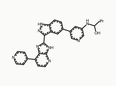 CC(C)C(O)Nc1cncc(-c2ccc3[nH]nc(-c4nc5c(-c6ccncc6)ccnc5[nH]4)c3c2)c1